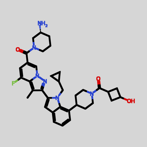 Cc1c(-c2cc3cccc(C4CCN(C(=O)C5CC(O)C5)CC4)c3n2CC2CC2)nn2cc(C(=O)N3CCC[C@@H](N)C3)cc(F)c12